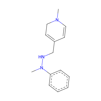 CN1C=CC(CNN(C)c2ccccc2)=CC1